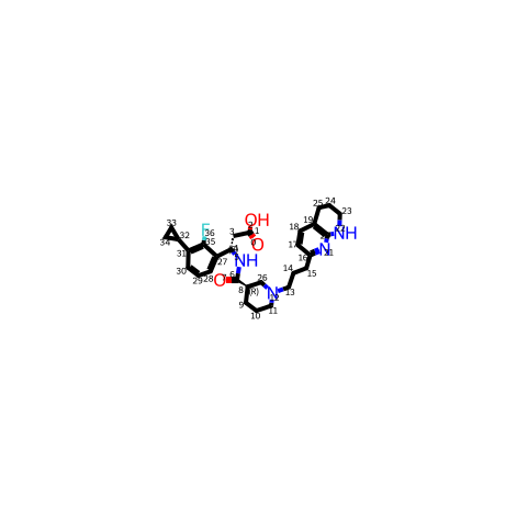 O=C(O)C[C@H](NC(=O)[C@@H]1CCCN(CCCc2ccc3c(n2)NCCC3)C1)c1cccc(C2CC2)c1F